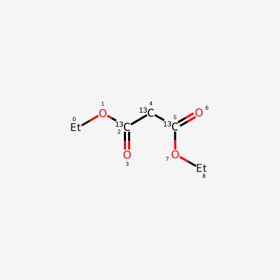 CCO[13C](=O)[13CH2][13C](=O)OCC